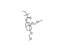 CCOCOC12CC3CC(OCOC)(C1)CC(OC(=O)C(C)(C)CC)(C3)C2